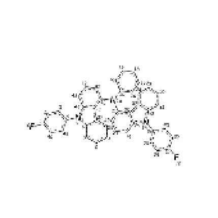 Fc1ccc(-n2c3ccccc3c3c(N(c4ccccc4)c4cccc5c4c4ccccc4n5-c4ccc(F)cc4)cccc32)cc1